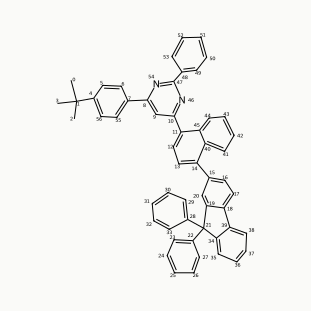 CC(C)(C)c1ccc(-c2cc(-c3ccc(-c4ccc5c(c4)C(c4ccccc4)(c4ccccc4)c4ccccc4-5)c4ccccc34)nc(-c3ccccc3)n2)cc1